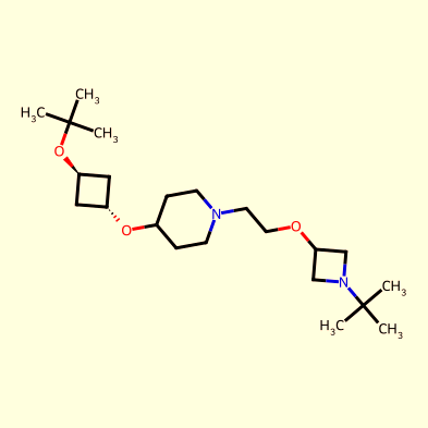 CC(C)(C)O[C@H]1C[C@H](OC2CCN(CCOC3CN(C(C)(C)C)C3)CC2)C1